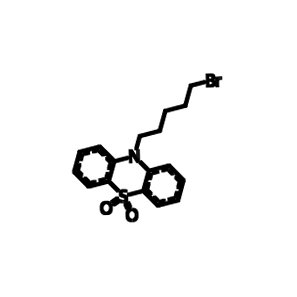 O=S1(=O)c2ccccc2N(CCCCCBr)c2ccccc21